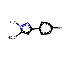 CC(C)c1ccc(-c2cc(C(=O)O)n(C)n2)cc1